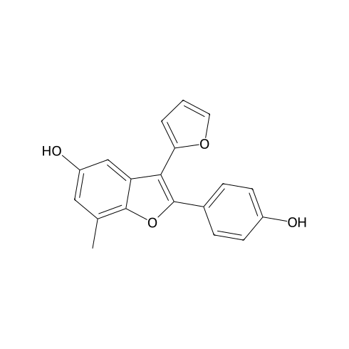 Cc1cc(O)cc2c(-c3ccco3)c(-c3ccc(O)cc3)oc12